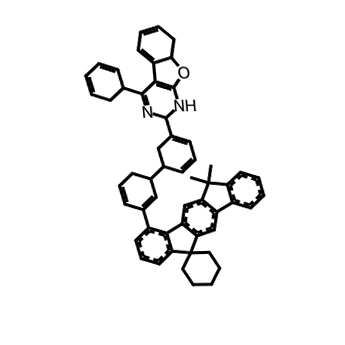 CC1(C)c2ccccc2-c2cc3c(cc21)-c1c(C2=CC(C4C=CC=C(C5N=C(C6C=CC=CC6)C6=C(N5)OC5CC=CC=C65)C4)CC=C2)cccc1C31CCCCC1